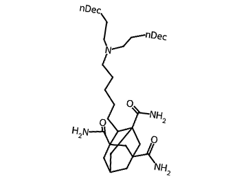 CCCCCCCCCCCCN(CCCCCCCCCCCC)CCCCCC1C2(C(N)=O)CC3CC(C(N)=O)(C2)CC1(C(N)=O)C3